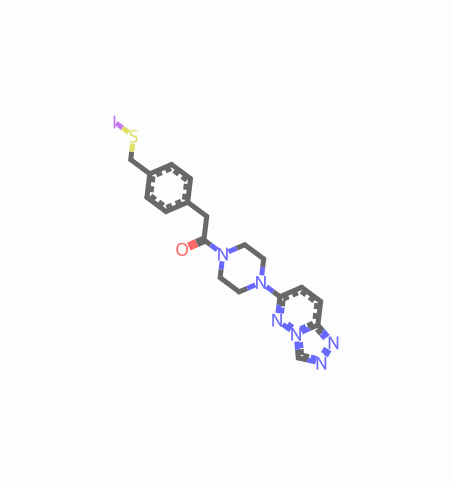 O=C(Cc1ccc(CSI)cc1)N1CCN(c2ccc3nncn3n2)CC1